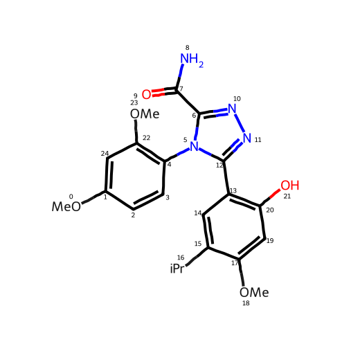 COc1ccc(-n2c(C(N)=O)nnc2-c2cc(C(C)C)c(OC)cc2O)c(OC)c1